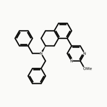 COc1ncc(-c2cccc3c2C[C@@H](N(Cc2ccccc2)Cc2ccccc2)CC3)cn1